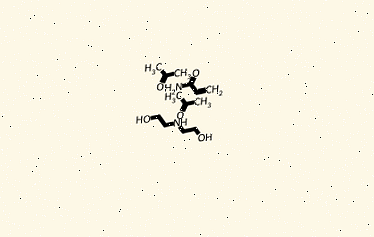 C=CC(N)=O.CC(C)=O.CC(C)=O.OCCNCCO